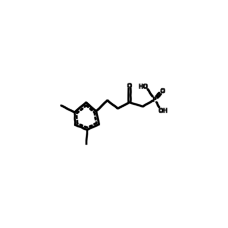 Cc1cc(C)cc(CCC(=O)CP(=O)(O)O)c1